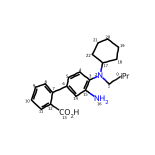 CC(C)CN(c1ccc(-c2ccccc2C(=O)O)cc1N)C1CCCCC1